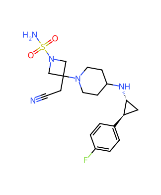 N#CCC1(N2CCC(N[C@@H]3C[C@H]3c3ccc(F)cc3)CC2)CN(S(N)(=O)=O)C1